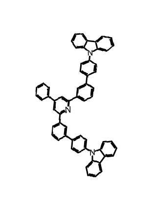 c1ccc(-c2cc(-c3cccc(-c4ccc(-n5c6ccccc6c6ccccc65)cc4)c3)nc(-c3cccc(-c4ccc(-n5c6ccccc6c6ccccc65)cc4)c3)c2)cc1